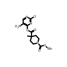 CC(C)(C)OC(=O)N1CCC(C)(C(=O)Oc2nc(Cl)ncc2[N+](=O)[O-])CC1